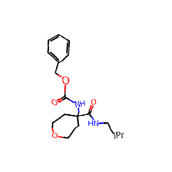 CC(C)CNC(=O)C1(NC(=O)OCc2ccccc2)CCOCC1